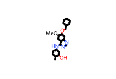 COc1cc2c(Nc3ccc(C)c(O)c3)ncnc2cc1OCc1ccccc1